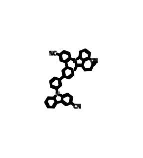 C#C/C=C\c1c(C)n(-c2ccc(C#N)cc2C2C=C(c3cccc(-n4c5ccccc5c5cc(C#N)ccc54)c3)C=CC2)c2cccc(C#N)c12